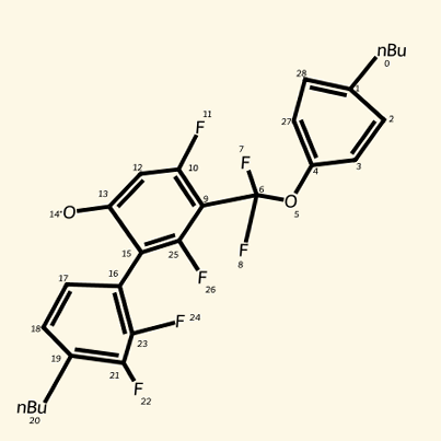 CCCCc1ccc(OC(F)(F)c2c(F)cc([O])c(-c3ccc(CCCC)c(F)c3F)c2F)cc1